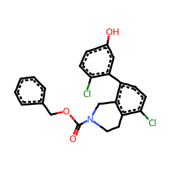 O=C(OCc1ccccc1)N1CCc2c(Cl)ccc(-c3cc(O)ccc3Cl)c2C1